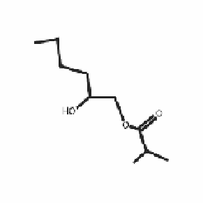 CCCCC(O)COC(=O)C(C)C